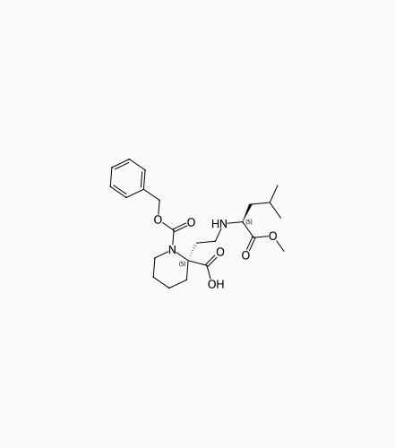 COC(=O)[C@H](CC(C)C)NCC[C@]1(C(=O)O)CCCCN1C(=O)OCc1ccccc1